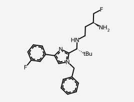 CC(C)(C)[C@@H](NCC[C@H](N)CF)c1nc(-c2cccc(F)c2)cn1Cc1ccccc1